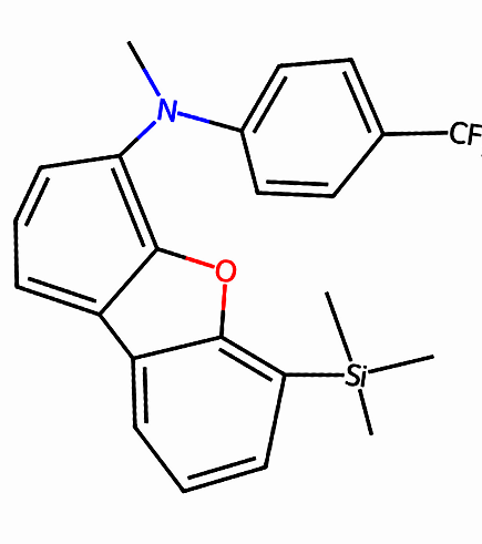 CN(c1ccc(C(F)(F)F)cc1)c1cccc2c1oc1c([Si](C)(C)C)cccc12